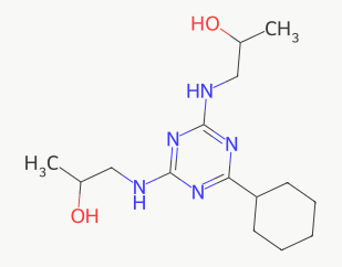 CC(O)CNc1nc(NCC(C)O)nc(C2CCCCC2)n1